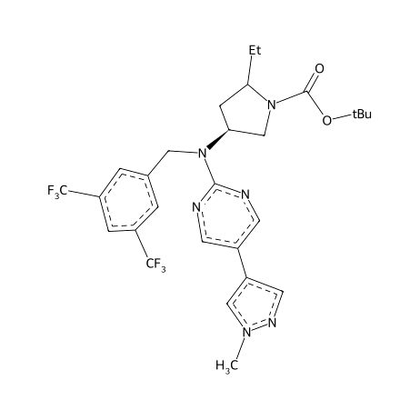 CCC1C[C@H](N(Cc2cc(C(F)(F)F)cc(C(F)(F)F)c2)c2ncc(-c3cnn(C)c3)cn2)CN1C(=O)OC(C)(C)C